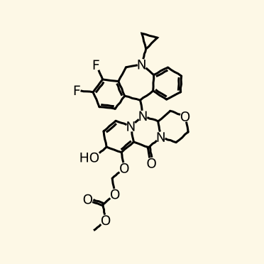 COC(=O)OCOC1=C2C(=O)N3CCOCC3N(C3c4ccccc4N(C4CC4)Cc4c3ccc(F)c4F)N2C=CC1O